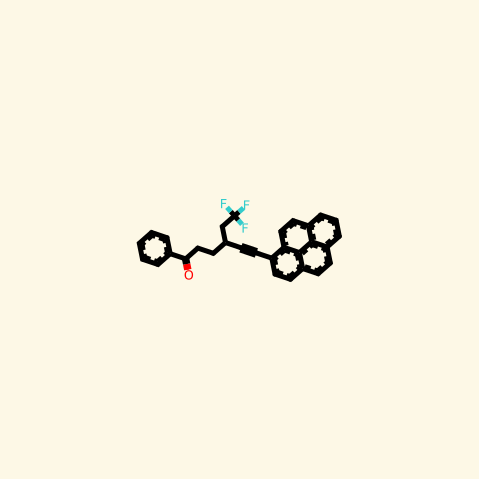 O=C(CCC(C#Cc1ccc2ccc3cccc4ccc1c2c34)CC(F)(F)F)c1ccccc1